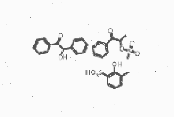 CC(OS(C)(=O)=O)C(=O)c1ccccc1.Cc1cccc(S(=O)(=O)O)c1O.O=C(c1ccccc1)C(O)c1ccccc1